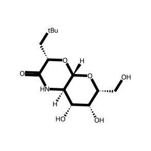 CC(C)(C)C[C@@H]1O[C@@H]2O[C@H](CO)[C@H](O)[C@H](O)[C@H]2NC1=O